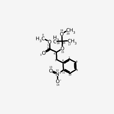 COC(=O)C(Cc1ccccc1[N+](=O)[O-])OC(C)(C)OC